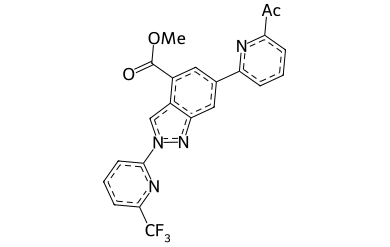 COC(=O)c1cc(-c2cccc(C(C)=O)n2)cc2nn(-c3cccc(C(F)(F)F)n3)cc12